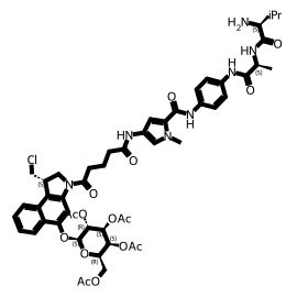 CC(=O)OC[C@H]1O[C@@H](Oc2cc3c(c4ccccc24)[C@H](CCl)CN3C(=O)CCCC(=O)Nc2cc(C(=O)Nc3ccc(NC(=O)[C@H](C)NC(=O)[C@@H](N)C(C)C)cc3)n(C)c2)[C@H](OC(C)=O)[C@@H](OC(C)=O)[C@H]1OC(C)=O